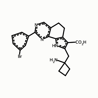 NC1(Cc2[nH]c3c(c2C(=O)O)CCc2cnc(-c4cccc(Br)c4)nc2-3)CCC1